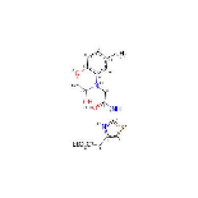 CCOC(=O)Cc1csc(NC(=O)CN2c3cc(C)ccc3OCC2O)n1